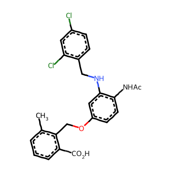 CC(=O)Nc1ccc(OCc2c(C)cccc2C(=O)O)cc1NCc1ccc(Cl)cc1Cl